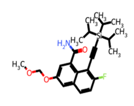 COCOc1cc(C(N)=O)c2c(C#C[Si](C(C)C)(C(C)C)C(C)C)c(F)ccc2c1